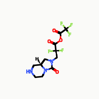 O=C1N(CC(F)(F)C(=O)OC(=O)C(F)(F)F)C[C@@H]2CNCCN12